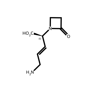 NCC=C[C@@H](C(=O)O)N1CCC1=O